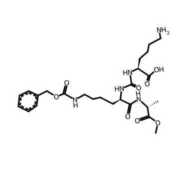 COC(=O)[C@@H](C)NC(=O)[C@@H](CCCCNC(=O)OCc1ccccc1)NC(=O)N[C@@H](CCCCN)C(=O)O